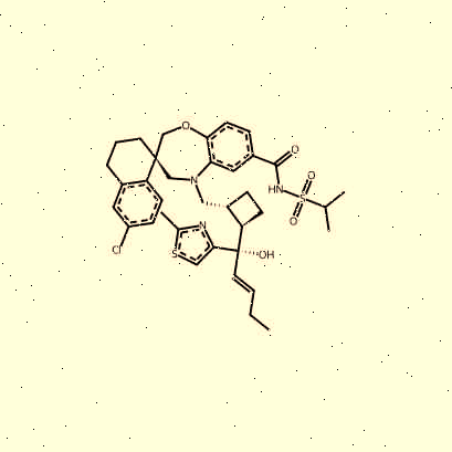 CC/C=C/[C@@](O)(c1csc(C)n1)[C@@H]1CC[C@H]1CN1C[C@@]2(CCCc3cc(Cl)ccc32)COc2ccc(C(=O)NS(=O)(=O)C(C)C)cc21